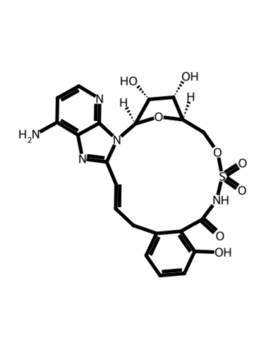 Nc1ccnc2c1nc1n2[C@@H]2O[C@H](COS(=O)(=O)NC(=O)c3c(O)cccc3C/C=C/1)[C@@H](O)[C@H]2O